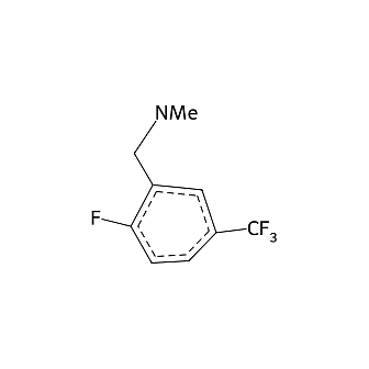 CNCc1cc(C(F)(F)F)ccc1F